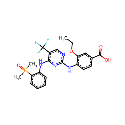 CCOc1cc(C(=O)O)ccc1Nc1ncc(C(F)(F)F)c(Nc2ccccc2P(C)(C)=O)n1